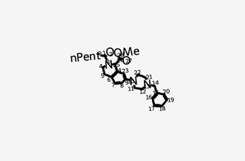 CCCCCC(=O)N1CCc2ccc(N3CCN(Cc4ccccc4)CC3)cc2C1C(=O)OC